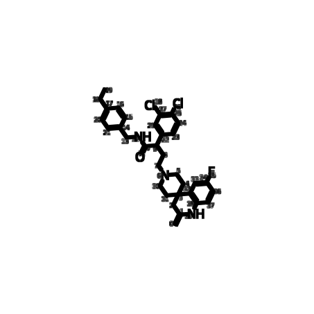 C=C1CC2(CCN(CCC(C(=O)NCc3ccc(CC)cc3)c3ccc(Cl)c(Cl)c3)CC2)c2cc(F)ccc2N1